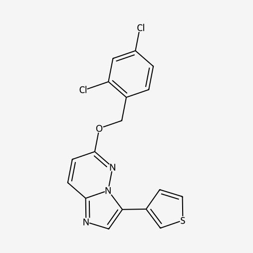 Clc1ccc(COc2ccc3ncc(-c4ccsc4)n3n2)c(Cl)c1